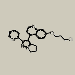 ClCCCOc1ccc2c(-c3c(-c4ccccn4)nn4c3CCC4)ccnc2c1